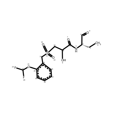 CC[C@@H](C=O)NC(=O)C(O)CS(=O)(=O)Cc1ccccc1OC(F)F